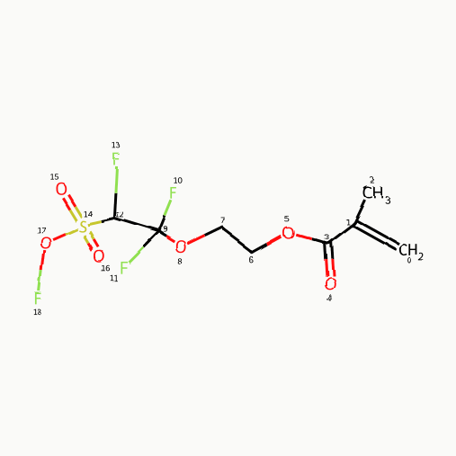 C=C(C)C(=O)OCCOC(F)(F)C(F)S(=O)(=O)OF